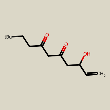 C=CC(O)CC(=O)CC(=O)CCC(C)(C)C